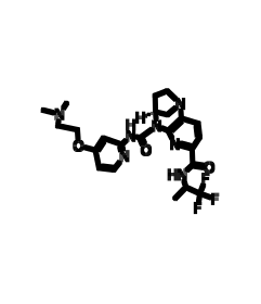 CC(NC(=O)c1ccc2c(n1)N(C(=O)Nc1cc(OCCN(C)C)ccn1)[C@H]1CCN2C1)C(F)(F)F